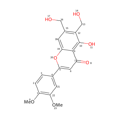 COc1ccc(-c2cc(=O)c3c(O)c(CO)c(CO)cc3o2)cc1OC